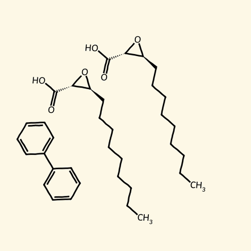 CCCCCCCCC[C@@H]1O[C@H]1C(=O)O.CCCCCCCCC[C@@H]1O[C@H]1C(=O)O.c1ccc(-c2ccccc2)cc1